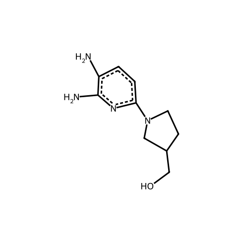 Nc1ccc(N2CCC(CO)C2)nc1N